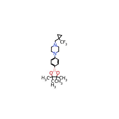 CC1(C)OB(c2ccc(N3CCN(CC4(C(F)(F)F)CC4)CC3)cc2)OC1(C)C